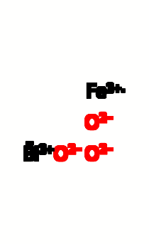 [Bi+3].[Fe+3].[O-2].[O-2].[O-2]